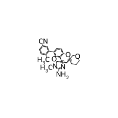 Cc1ccc(C#N)cc1-c1ccc2c(c1)[C@]1(C[C@@]3(CCCOC3)O2)N=C(N)N(C)C1=O